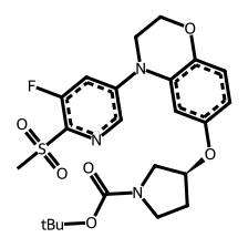 CC(C)(C)OC(=O)N1CC[C@H](Oc2ccc3c(c2)N(c2cnc(S(C)(=O)=O)c(F)c2)CCO3)C1